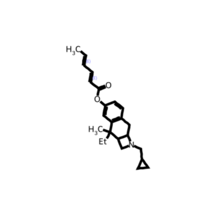 C/C=C/C=C/C(=O)Oc1ccc2c(c1)C(C)(CC)C1CN(CC3CC3)C1C2